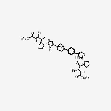 CC[C@H](NC(=O)OC)C(C)N1CCC[C@H]1c1ncc(C23CCC(c4ccc(-c5cnc([C@@H]6CCCN6C(=O)[C@@H](NC(=O)OC)C(C)C)[nH]5)cc4)(CC2)CC3)[nH]1